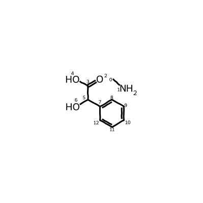 CN.O=C(O)C(O)c1ccccc1